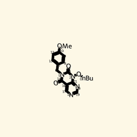 CCCCOn1c(=O)n(Cc2ccc(OC)cc2)c(=O)c2cncnc21